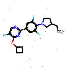 O=C(O)CC1CCN(c2c(F)cc(-c3ncc(F)c(OC4CCC4)n3)cc2F)C1